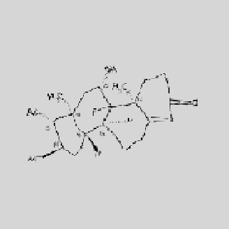 CC(=O)[C@H]1[C@H](C#N)C[C@H]2[C@@H]3CCC4=CC(=O)CC[C@]4(C)C3(F)[C@@H](O)C[C@@]21C